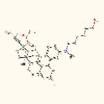 CC#C[C@]1(OC(C)=O)CC[C@H]2[C@@H]3CCC4=CC(=O)CCC4=C3[C@@H](c3ccc(N(C)CCCCCCO)cc3)C[C@@]21C